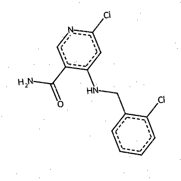 NC(=O)c1cnc(Cl)cc1NCc1ccccc1Cl